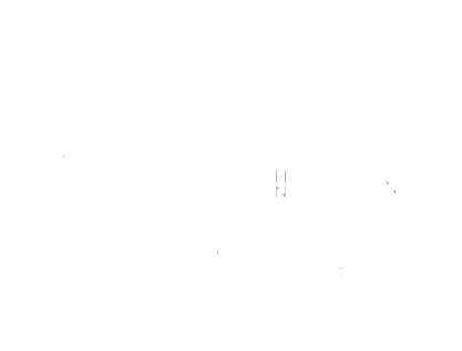 O=C(N[C@@H]1C2CCN(CC2)C12CC2)c1ccc2ccoc2c1